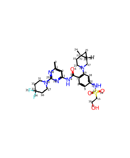 Cc1cc(NC(=O)c2ccc(NS(=O)(=O)CCO)cc2N2CC[C@]3(C)C[C@@H]3C2)nc(N2CCC(F)(F)CC2)n1